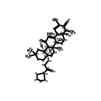 [C-]#[N+]C1=C[C@]2(C)C3=CC(=O)[C@@H]4[C@@H]5CC(C)(C)CC[C@]5(CCC(=O)N5CCCC5)CC[C@@]4(C)[C@]3(C)CC[C@H]2[C@H](C)C1=O